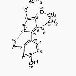 COc1cc2ccc3cc(O)ccc3c2c(OC)c1OC